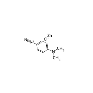 CN(C)c1ccc([N+]#N)cc1.[Cl-].[Zn]